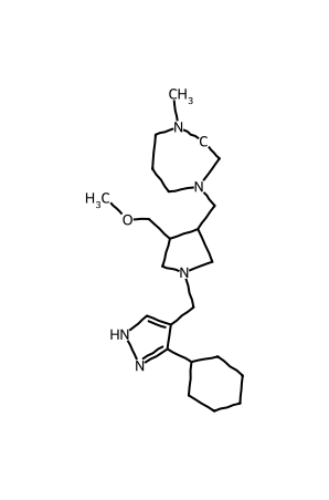 COCC1CN(Cc2c[nH]nc2C2CCCCC2)CC1CN1CCCN(C)CC1